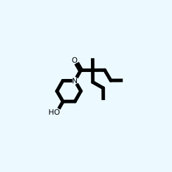 CCCC(C)(CCC)C(=O)N1CCC(O)CC1